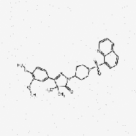 COc1ccc(C2=NN(C3CCN(S(=O)(=O)c4cccc5cccnc45)CC3)C(=O)C2(C)C)cc1OC